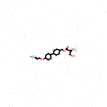 C=CCOC1CCC(C2CCC(COC(=O)C(=C)CO)CC2)CC1